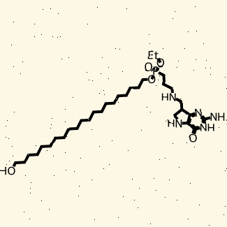 CCOP(=O)(CCCNCC1CNc2c1nc(N)[nH]c2=O)OCCCCCCCCCCCCCCCCCCCCCO